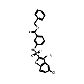 Cc1c(S(=O)(=O)Nc2cccc(C(=O)OCc3ccccc3)c2)sc2ccc(Cl)cc12